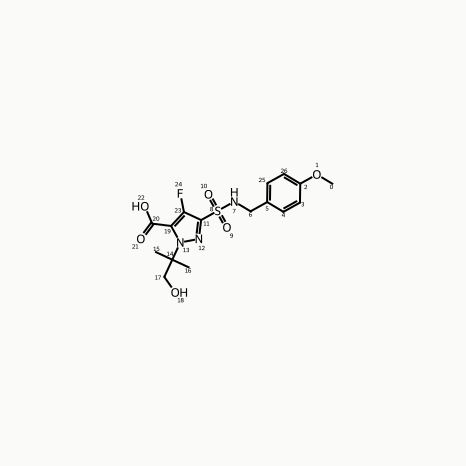 COc1ccc(CNS(=O)(=O)c2nn(C(C)(C)CO)c(C(=O)O)c2F)cc1